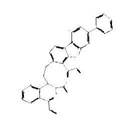 C=CC1=NC2C(=C)/N=C(/C=C)c3c(ccc4c3oc3cc(-c5ccccc5)ccc34)CCC2c2ccccc21